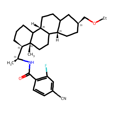 CCOC[C@H]1CC[C@H]2C(CC[C@@H]3C2CC[C@@]2(C)C3CCC[C@@H]2[C@H](C)NC(=O)c2ccc(C#N)cc2F)C1